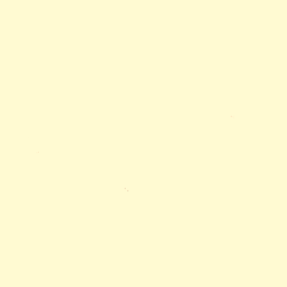 Cc1ccc(Cc2cc3cc(-c4ccc(N5CCCCC5)cc4)c(Cl)cc3[nH]2)cc1C(=O)O